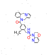 Cc1cc(C(=O)N2Cc3cccn3Cc3ccccc32)ccc1CNC(=O)N1CCOc2cccnc21